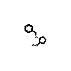 CNC1CCC[C@H]1OCc1ccccc1